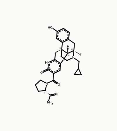 NC(=O)[C@@H]1CCCN1C(=O)c1cc2c([nH]c1=O)C[C@]13CCN(CC4CC4)[C@H](Cc4ccc(O)cc41)[C@@H]3C2